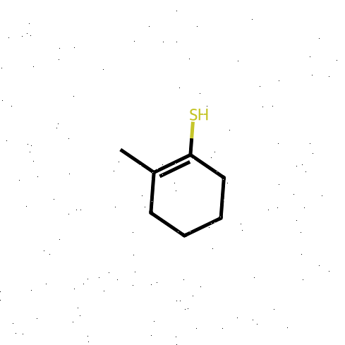 CC1=C(S)CCCC1